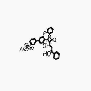 O=C1[C@H](CC[C@H](O)c2ccccc2)[C@@H](c2ccc(-c3cccc(S(=O)(=O)O)c3)cc2O)N1c1ccccc1F